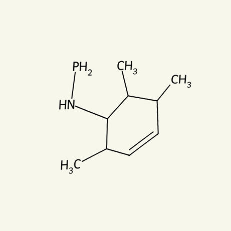 CC1C=CC(C)C(NP)C1C